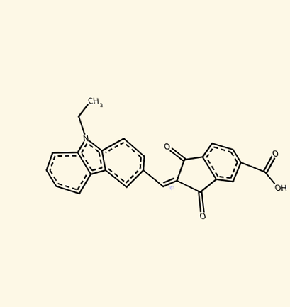 CCn1c2ccccc2c2cc(/C=C3\C(=O)c4ccc(C(=O)O)cc4C3=O)ccc21